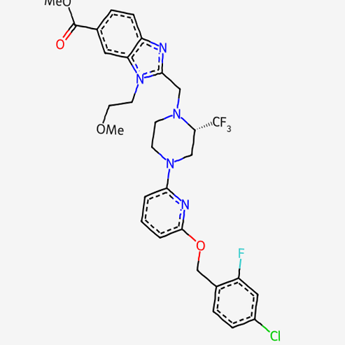 COCCn1c(CN2CCN(c3cccc(OCc4ccc(Cl)cc4F)n3)C[C@H]2C(F)(F)F)nc2ccc(C(=O)OC)cc21